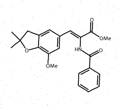 COC(=O)C(=Cc1cc2c(c(OC)c1)OC(C)(C)C2)NC(=O)c1ccccc1